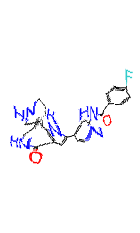 O=C(Nc1cc(-c2cc3c([nH]2)[C@@]2(CCCNC2)CNC3=O)ccn1)c1ccc(F)cc1